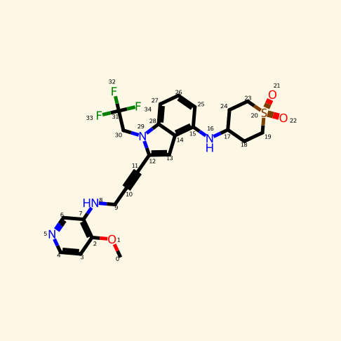 COc1ccncc1NCC#Cc1cc2c(NC3CCS(=O)(=O)CC3)cccc2n1CC(F)(F)F